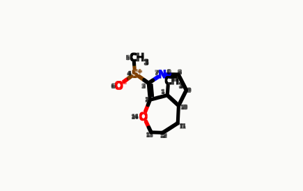 CC1C2=C([S+](C)[O-])N=CCC1CCCO2